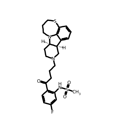 CS(=O)(=O)Nc1cc(F)ccc1C(=O)CCCN1CC[C@@H]2[C@H](C1)c1cccc3c1N2CCCS3